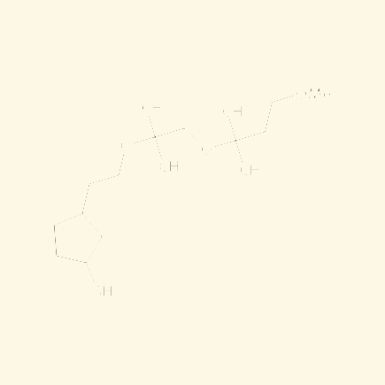 COCCC(C)(C)OCC(C)(C)OCCC1CCC(S)C1